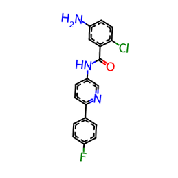 Nc1ccc(Cl)c(C(=O)Nc2ccc(-c3ccc(F)cc3)nc2)c1